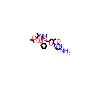 CC(C)OC(=O)C(C)N[P@@](OCC1CC(C)C(n2ccc(N)nc2=O)O1)Oc1ccccc1